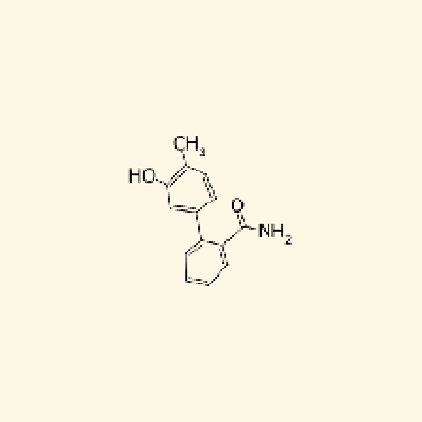 Cc1ccc(-c2ccccc2C(N)=O)cc1O